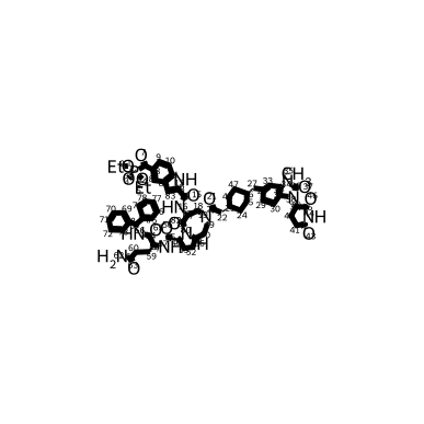 CCOP(=O)(OCC)C(=O)c1ccc2[nH]c(C(=O)N[C@H]3CN(C(=O)C[C@H]4CC[C@@H](Cc5ccc6c(c5)n(C)c(=O)n6[C@@H]5CCC(=O)NC5=O)CC4)CC[C@H]4CC[C@@H](C(=O)N[C@@H](CCC(N)=O)C(=O)NC(c5ccccc5)c5ccccc5)N4C3=O)cc2c1